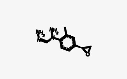 Cc1cc([C@H]2CO2)ccc1N(N)/C=N\N